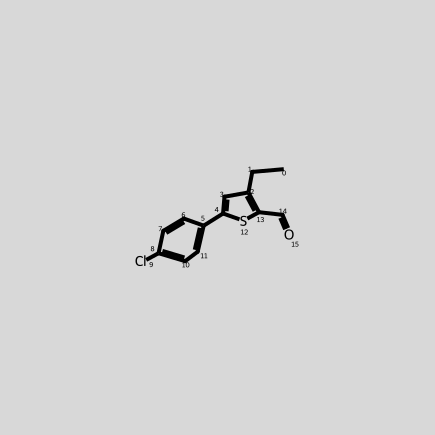 CCc1cc(-c2ccc(Cl)cc2)sc1C=O